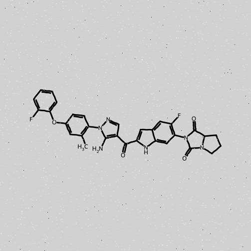 Cc1cc(Oc2ccccc2F)ccc1-n1ncc(C(=O)c2cc3cc(F)c(N4C(=O)C5CCCN5C4=O)cc3[nH]2)c1N